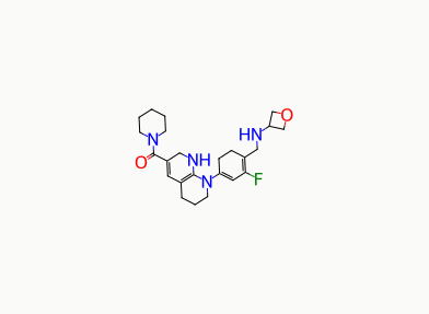 O=C(C1=CC2=C(NC1)N(C1=CC(F)=C(CNC3COC3)CC1)CCC2)N1CCCCC1